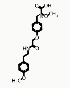 COc1ccc(CCNC(=O)COc2ccc(C[C@H](OC)C(=O)O)cc2)cc1